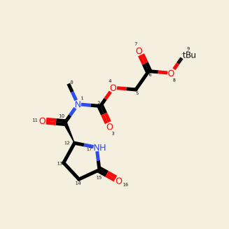 CN(C(=O)OCC(=O)OC(C)(C)C)C(=O)[C@@H]1CCC(=O)N1